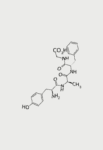 C[C@@H](NC(=O)[C@@H](N)Cc1ccc(O)cc1)C(=O)N[C@@H](Cc1ccccc1)C(=O)NCC(=O)O